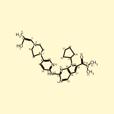 C/C(O)=C/N1CCN(c2ccc(Nc3ncc4cc(C(=O)N(C)C)n(C5CCCC5)c4n3)nc2)CC1